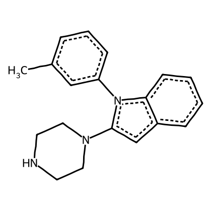 Cc1cccc(-n2c(N3CCNCC3)cc3ccccc32)c1